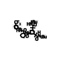 CC(C)(C)NC(=O)C(C)(C)c1cc(C(=O)NC2(C(=O)NCc3cccc(C(F)(F)F)c3)CCCCC2)cc(C(C)(C)C(=O)NC(C)(C)C)c1